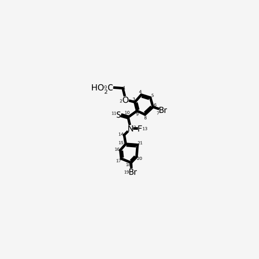 O=C(O)COc1ccc(Br)cc1C(=S)N(F)Cc1ccc(Br)cc1